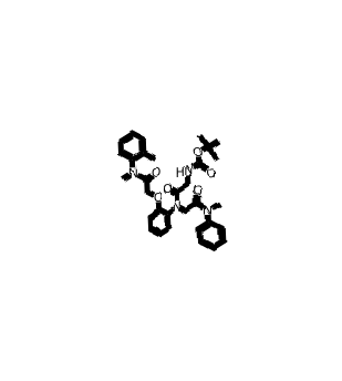 Cc1ccccc1N(C)C(=O)COc1ccccc1N(CC(=O)N(C)c1ccccc1)C(=O)CNC(=O)OC(C)(C)C